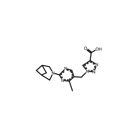 Cc1nc(N2CC3CC(C3)C2)ncc1Cn1cc(C(=O)O)nn1